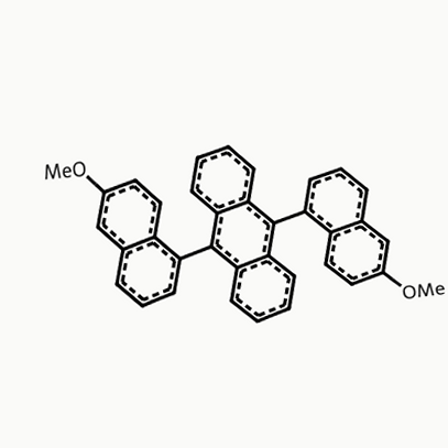 COc1ccc2c(-c3c4ccccc4c(-c4cccc5cc(OC)ccc45)c4ccccc34)cccc2c1